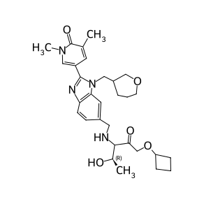 Cc1cc(-c2nc3ccc(CNC(C(=O)COC4CCC4)[C@@H](C)O)cc3n2CC2CCCOC2)cn(C)c1=O